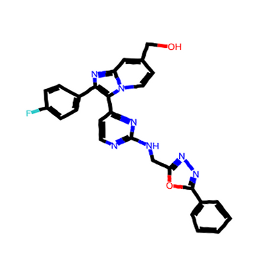 OCc1ccn2c(-c3ccnc(NCc4nnc(-c5ccccc5)o4)n3)c(-c3ccc(F)cc3)nc2c1